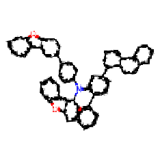 c1ccc(-c2ccc(-c3cccc4c3ccc3ccccc34)cc2N(c2ccc(-c3ccc4oc5ccccc5c4c3)cc2)c2cccc3oc4ccccc4c23)cc1